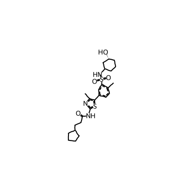 Cc1ccc(-c2sc(NC(=O)CCC3CCCC3)nc2C)cc1S(=O)(=O)NC1CCC[C@@H](O)C1